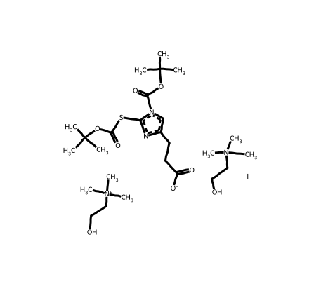 CC(C)(C)OC(=O)Sc1nc(CCC(=O)[O-])cn1C(=O)OC(C)(C)C.C[N+](C)(C)CCO.C[N+](C)(C)CCO.[I-]